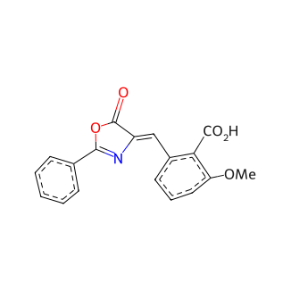 COc1cccc(/C=C2\N=C(c3ccccc3)OC2=O)c1C(=O)O